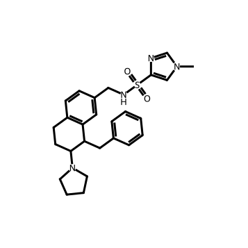 Cn1cnc(S(=O)(=O)NCc2ccc3c(c2)C(Cc2ccccc2)C(N2CCCC2)CC3)c1